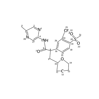 Cc1cnc(NC(=O)C(CC2CCCCO2)c2ccc(S(C)(=O)=O)c(C(F)(F)F)c2)cn1